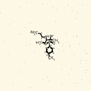 C=CC(NCCC)C(C)(Br)S(=O)(=O)c1ccc(C)cc1